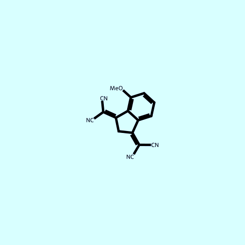 COc1cccc2c1C(=C(C#N)C#N)CC2=C(C#N)C#N